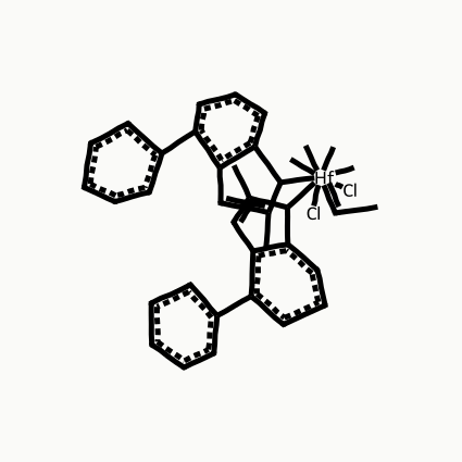 C[CH]=[Hf]([CH3])([CH3])([CH3])([CH3])([Cl])([Cl])([CH]1C(C)=Cc2c(-c3ccccc3)cccc21)[CH]1C(C)=Cc2c(-c3ccccc3)cccc21